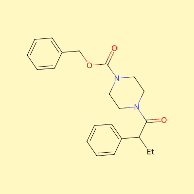 CCC(C(=O)N1CCN(C(=O)OCc2ccccc2)CC1)c1ccccc1